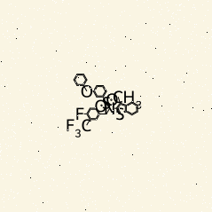 Cc1c(N(Cc2ccc(F)c(C(F)(F)F)c2)S(=O)(=O)c2cccc(Oc3ccccc3)c2)sc2ccccc12